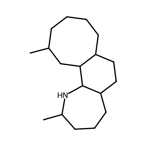 CC1CCCCC2CCC3CCCC(C)NC3C2C1